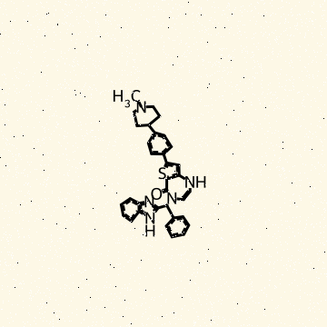 CN1CCC(c2ccc(-c3cc4c(s3)C(=O)N(C(c3ccccc3)c3nc5ccccc5[nH]3)C=CN4)cc2)CC1